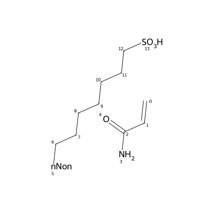 C=CC(N)=O.CCCCCCCCCCCCCCCCS(=O)(=O)O